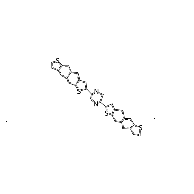 c1cc2cc3cc4sc(-c5cnc(-c6cc7cc8cc9sccc9cc8cc7s6)cn5)cc4cc3cc2s1